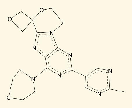 Cc1ncc(-c2nc(N3CCOCC3)c3nc4n(c3n2)CCOC42COC2)cn1